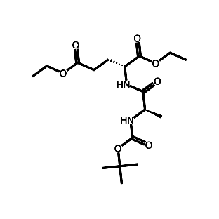 CCOC(=O)CC[C@@H](NC(=O)[C@@H](C)NC(=O)OC(C)(C)C)C(=O)OCC